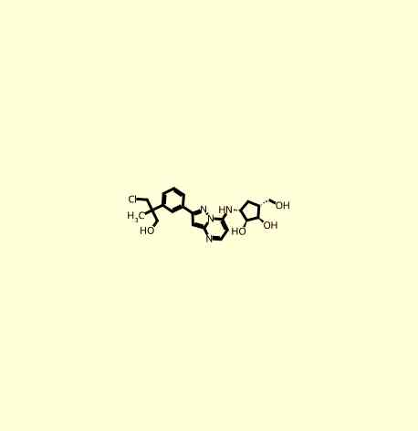 CC(CO)(CCl)c1cccc(-c2cc3nccc(N[C@@H]4C[C@H](CO)[C@@H](O)[C@H]4O)n3n2)c1